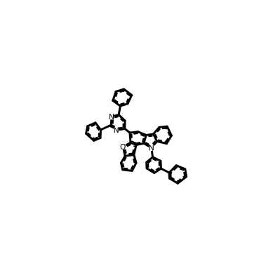 c1ccc(-c2cccc(-n3c4ccccc4c4cc(-c5cc(-c6ccccc6)nc(-c6ccccc6)n5)c5oc6ccccc6c5c43)c2)cc1